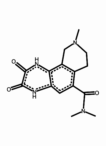 CN1CCc2c(C(=O)N(C)C)cc3[nH]c(=O)c(=O)[nH]c3c2C1